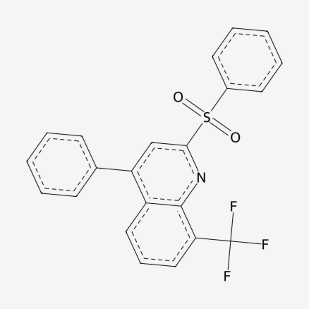 O=S(=O)(c1ccccc1)c1cc(-c2ccccc2)c2cccc(C(F)(F)F)c2n1